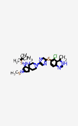 C=C1NC=Nc2ccc(Sc3cnc(N4CCC5(CC4)CC4=C(C5NSC(C)(C)C)N4SC)cn3)c(Cl)c21